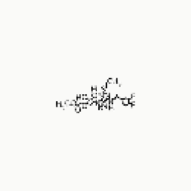 CCCSc1nc(NC2CC2c2ccc(F)c(F)c2)c2nnn(C3CC(OCC(=O)OCC)C(O)C3O)c2n1